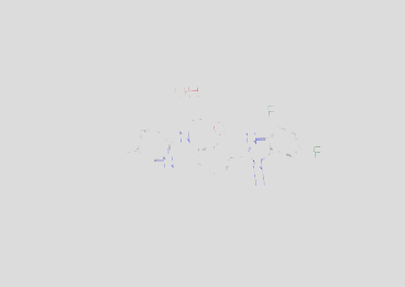 Cc1ccc(N2c3cccc(-c4nc5c(F)cc(F)cc5[nH]4)c3OCC2CO)nc1